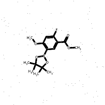 COC(=O)c1cc(B2OC(C)(C)C(C)(C)O2)c(OC)cc1F